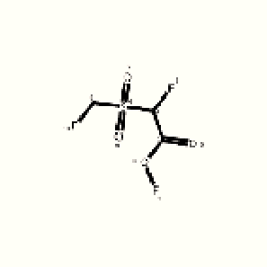 O=C(OF)C(F)S(=O)(=O)CF